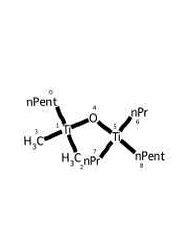 CCCC[CH2][Ti]([CH3])([CH3])[O][Ti]([CH2]CC)([CH2]CC)[CH2]CCCC